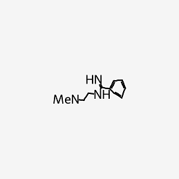 CNCCNC(=N)c1ccccc1